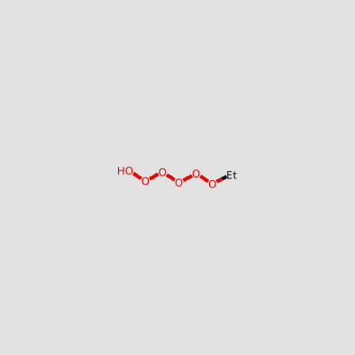 CCOOOOOO